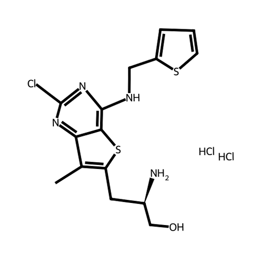 Cc1c(C[C@@H](N)CO)sc2c(NCc3cccs3)nc(Cl)nc12.Cl.Cl